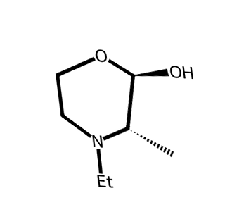 CCN1CCO[C@@H](O)[C@@H]1C